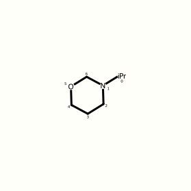 CC(C)N1CCCOC1